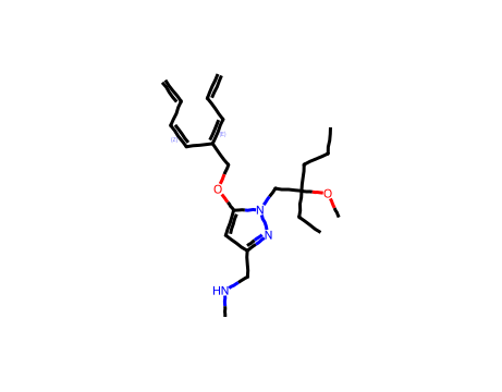 C=C/C=C\C(=C/C=C)COc1cc(CNC)nn1CC(CC)(CCC)OC